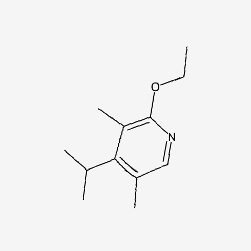 CCOc1ncc(C)c(C(C)C)c1C